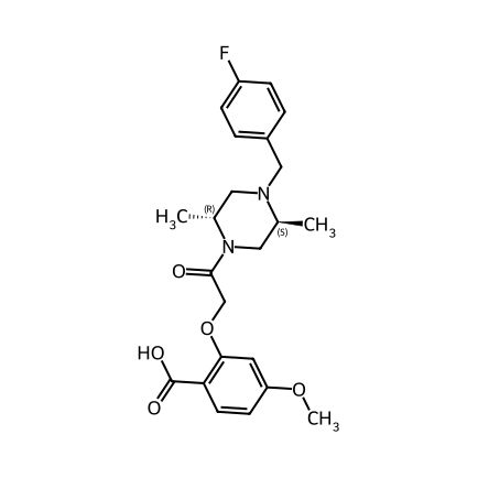 COc1ccc(C(=O)O)c(OCC(=O)N2C[C@H](C)N(Cc3ccc(F)cc3)C[C@H]2C)c1